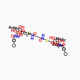 CC(=O)N[C@H]1[C@H]([C@H](O)[C@H](O)CNC(=O)c2ccc(C3CCCCC3)cc2)O[C@@](OCCCSCCNC(=O)CCCCC(=O)NCCSCCCO[C@]2(C(=O)O)C[C@H](O)[C@@H](NC(C)=O)[C@H]([C@H](O)[C@H](O)CNC(=O)c3ccc(C4CCCCC4)cc3)O2)(C(=O)O)C[C@@H]1O